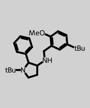 COc1ccc(C(C)(C)C)cc1CNC1CCN(C(C)(C)C)C1c1ccccc1